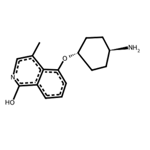 Cc1cnc(O)c2cccc(O[C@H]3CC[C@H](N)CC3)c12